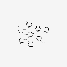 Cc1cccc(N2c3cc(C)ccc3B3c4ccc(C)cc4N(c4cccc(C)c4)c4cc(N(c5ccc(C(C)C)cc5)c5cccc6c5oc5ccccc56)cc2c43)c1